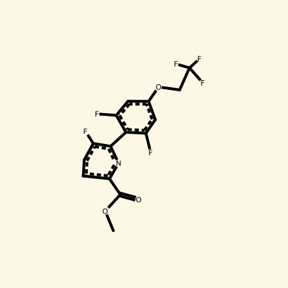 COC(=O)c1ccc(F)c(-c2c(F)cc(OCC(F)(F)F)cc2F)n1